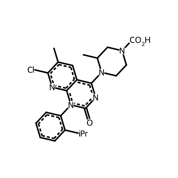 Cc1cc2c(N3CCN(C(=O)O)CC3C)nc(=O)n(-c3ccccc3C(C)C)c2nc1Cl